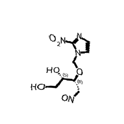 O=NC[C@@H](OCn1ccnc1[N+](=O)[O-])[C@@H](O)CO